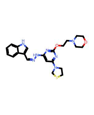 C(=N/Nc1cc(N2CCSC2)nc(OCCN2CCOCC2)n1)/c1c[nH]c2ccccc12